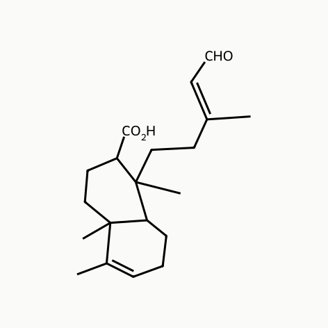 CC(=CC=O)CCC1(C)C(C(=O)O)CCC2(C)C(C)=CCCC21